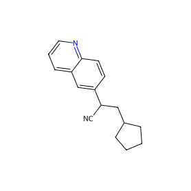 N#CC(CC1CCCC1)c1ccc2ncccc2c1